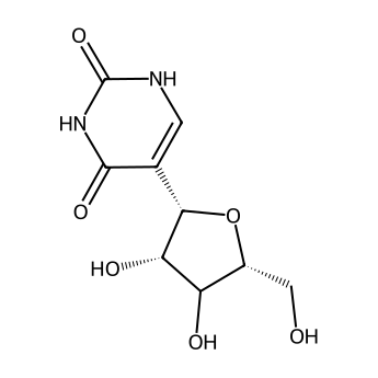 O=c1[nH]cc([C@@H]2O[C@H](CO)C(O)[C@@H]2O)c(=O)[nH]1